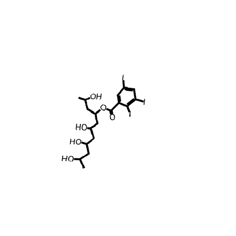 CC(O)CC(O)CC(O)CC(CC(C)O)OC(=O)c1cc(I)cc(I)c1I